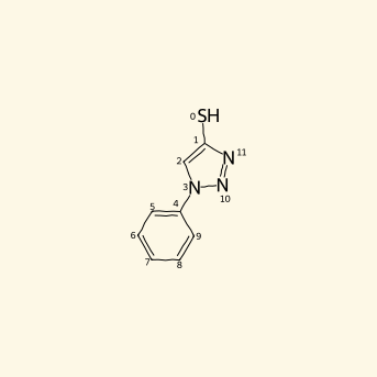 Sc1cn(-c2ccccc2)nn1